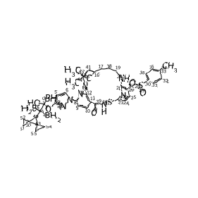 BC(O)(Oc1ccn(-c2ccc3c(n2)N2CC(CCCNc4nc(ccc4OS(=O)c4ccc(C)cc4)SNC3=O)CC2(C)C)n1)C(B)(B)C1C2(CC2)C12CC2